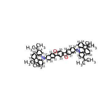 CC(C)c1ccc(N(c2ccc3cc4c(cc3c2)oc2cc3c(cc24)oc2cc4cc(N(c5ccc(C(C)C)cc5)c5cccc6c5-c5ccccc5C6(C)C)ccc4cc23)c2cccc3c2-c2ccccc2C3(C)C)cc1